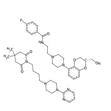 CC1(C)CC(=O)N(CCCCN2CCN(c3ncccn3)CC2)C(=O)C1.O=C(NCCN1CCN(c2cccc3c2OC[C@H](CO)O3)CC1)c1ccc(F)cc1